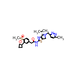 Cc1ccc(CN2Cc3sc(NC(=O)Cc4ccc(S(C)(=O)=O)c(C5CCC5)c4)nc3[C@@H]2C(C)C)nn1